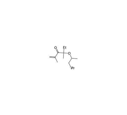 C=C(C)C(=O)C(C)(CC)OC(C)CC(C)C